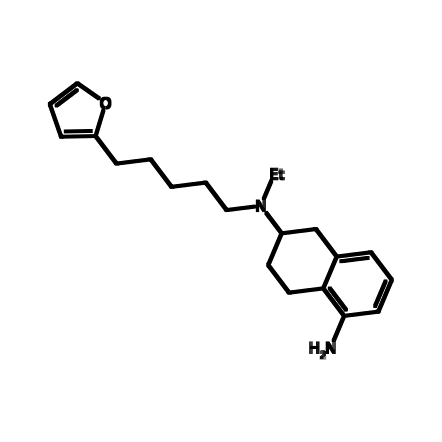 CCN(CCCCCc1ccco1)C1CCc2c(N)cccc2C1